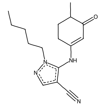 CCCCCn1ncc(C#N)c1NC1=CC(=O)C(C)CC1